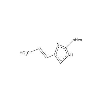 CCCCCCc1nc(C=CC(=O)O)c[nH]1